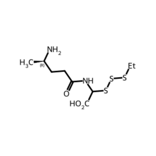 CCSSSC(NC(=O)CC[C@@H](C)N)C(=O)O